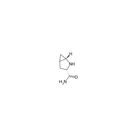 NC(=O)[C@@H]1CC2C[C@@H]2N1